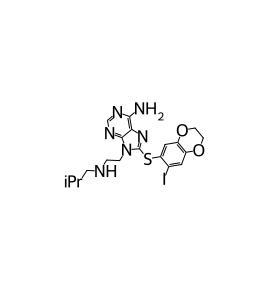 CC(C)CNCCn1c(Sc2cc3c(cc2I)OCCO3)nc2c(N)ncnc21